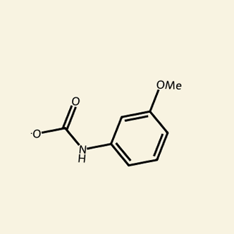 COc1cccc(NC([O])=O)c1